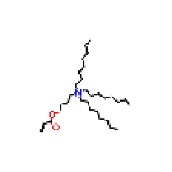 C=CC(=O)OCCCC[N+](CCCCCCCC)(CCCCCCCC)CCCCCCCC